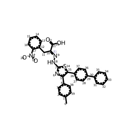 Cc1ccc(-c2nc(N/N=C(\Cc3ccccc3[N+](=O)[O-])C(=O)O)sc2-c2ccc(-c3ccccc3)cc2)cc1